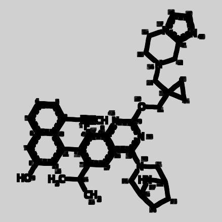 C#Cc1cccc2cc(O)cc(-c3c(C(C)C)cc4c(N5CC6CCC(C5)N6)nc(OCC5(CN6CCn7ccnc7C6)CC5)nc4c3F)c12